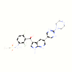 CCC(C)S(=O)(=O)Nc1ccc(F)c(C(=O)c2c[nH]c3ncc(-c4cnc(N5CCNCC5)nc4)cc23)c1Cl